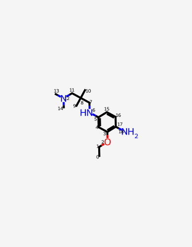 CCOc1cc(NCC(C)(C)CN(C)C)ccc1N